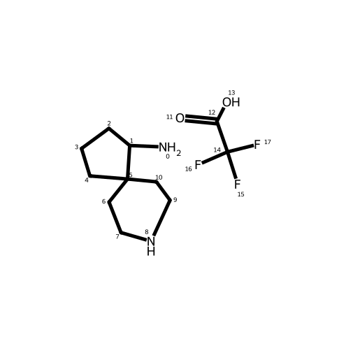 NC1CCCC12CCNCC2.O=C(O)C(F)(F)F